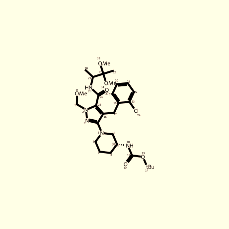 COCn1nc(N2CCC[C@@H](NC(=O)OC(C)(C)C)C2)c(Cc2ccccc2Cl)c1C(=O)NC(C)C(C)(OC)OC